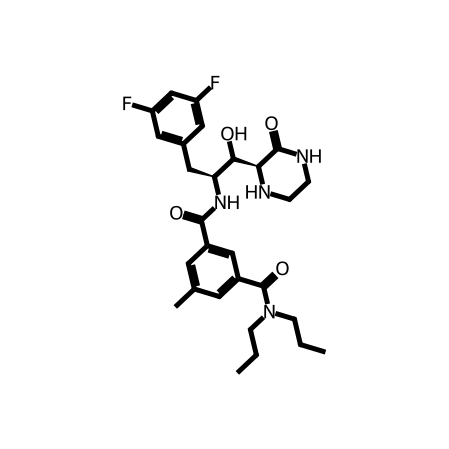 CCCN(CCC)C(=O)c1cc(C)cc(C(=O)N[C@@H](Cc2cc(F)cc(F)c2)C(O)[C@@H]2NCCNC2=O)c1